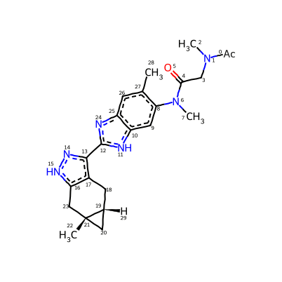 CC(=O)N(C)CC(=O)N(C)c1cc2[nH]c(-c3n[nH]c4c3C[C@@H]3C[C@]3(C)C4)nc2cc1C